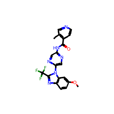 COc1ccc2nc(C(F)(F)F)n(-c3cnc(NC(=O)c4ccncc4C)cn3)c2c1